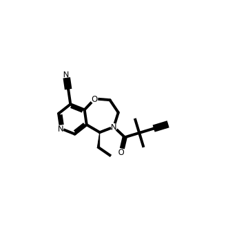 C#CC(C)(C)C(=O)N1CCOc2c(C#N)cncc2[C@@H]1CC